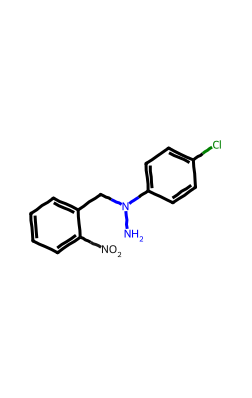 NN(Cc1ccccc1[N+](=O)[O-])c1ccc(Cl)cc1